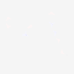 Cc1ccc(NC(=O)c2ccc3c(c2)OCO3)cc1-c1cc(OCCOPI)nc(N2CCOCC2)c1